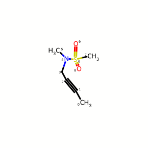 CC#CCN(C)S(C)(=O)=O